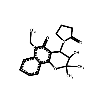 CC1(C)Oc2c(c(=O)n(CC(F)(F)F)c3ccccc23)C(N2CCCC2=O)C1O